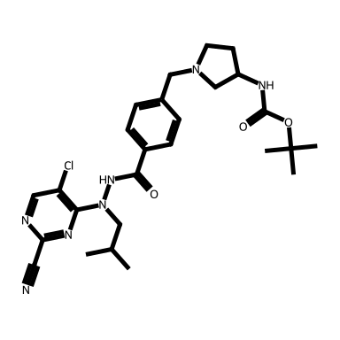 CC(C)CN(NC(=O)c1ccc(CN2CCC(NC(=O)OC(C)(C)C)C2)cc1)c1nc(C#N)ncc1Cl